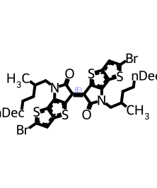 CCCCCCCCCCCCC(C)CN1C(=O)/C(=C2/C(=O)N(CC(C)CCCCCCCCCCCC)c3c2sc2cc(Br)sc32)c2sc3cc(Br)sc3c21